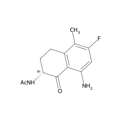 CC(=O)N[C@@H]1CCc2c(C)c(F)cc(N)c2C1=O